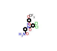 NC(=O)c1cccc(NC(=O)c2cc(Cl)c(Cl)cc2Oc2ccc(OC(F)(F)F)cc2)c1